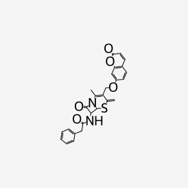 C=C1SC2C(NC(=O)Cc3ccccc3)C(=O)N2C(C)=C1COc1ccc2ccc(=O)oc2c1